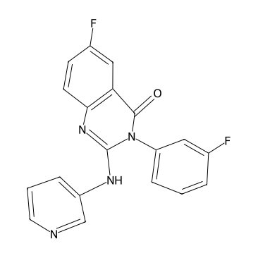 O=c1c2cc(F)ccc2nc(Nc2cccnc2)n1-c1cccc(F)c1